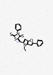 CCn1c(/C=C2/SC(=S)N(c3ccccc3)C2=S)cc2oc(-c3ccccc3)cc21